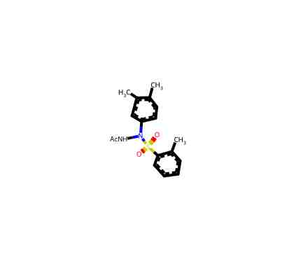 CC(=O)NN(c1ccc(C)c(C)c1)S(=O)(=O)c1ccccc1C